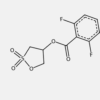 O=C(OC1COS(=O)(=O)C1)c1c(F)cccc1F